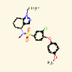 CCOC(=O)Cn1ncc2c1CCC[C@H]2N(C)S(=O)(=O)c1ccc(Oc2ccc(OC(F)(F)F)cc2)c(Cl)c1